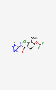 CSc1c(OC(F)F)ccc(C(=O)Nc2nnnn2C)c1Cl